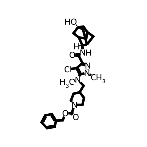 CN(CC1CCN(C(=O)OCc2ccccc2)CC1)c1c(Cl)c(C(=O)N[C@H]2C3CC4CC2C[C@](O)(C4)C3)nn1C